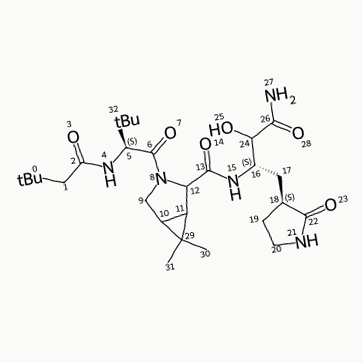 CC(C)(C)CC(=O)N[C@H](C(=O)N1CC2C(C1C(=O)N[C@@H](C[C@@H]1CCNC1=O)C(O)C(N)=O)C2(C)C)C(C)(C)C